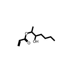 C=CC(=O)OC(C)C(O)CCCC